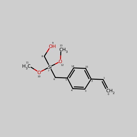 C=Cc1ccc(C[Si](CO)(OC)OC)cc1